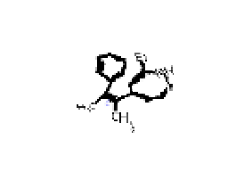 CCC1=CC(/C(C)=C(/C)c2ccccc2)=CC=NN1